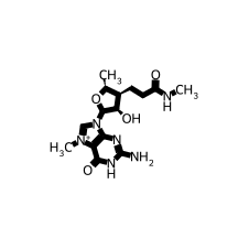 CNC(=O)CC[C@@H]1[C@@H](C)OC(n2c[n+](C)c3c(=O)[nH]c(N)nc32)[C@@H]1O